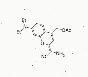 CCN(CC)c1ccc2c(c1)O/C(=C(/N)C#N)C=C2COC(C)=O